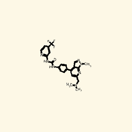 CN(C)Cc1cc(-c2ccc(NC(=O)Nc3cc(C(F)(F)F)ccn3)cc2)c2cnn(C)c2n1